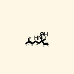 C=CC(C)(CCC=C(C)C)NO